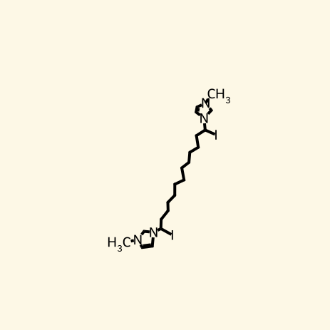 CN1C=CN(C(I)CCCCCCCCCCCC(I)N2C=CN(C)C2)C1